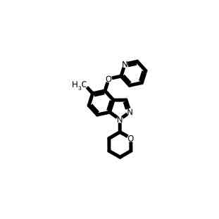 Cc1ccc2c(cnn2C2CCCCO2)c1Oc1ccccn1